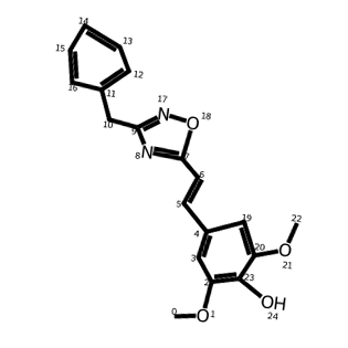 COc1cc(C=Cc2nc(Cc3ccccc3)no2)cc(OC)c1O